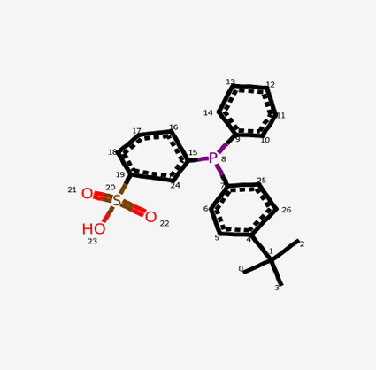 CC(C)(C)c1ccc(P(c2ccccc2)c2cccc(S(=O)(=O)O)c2)cc1